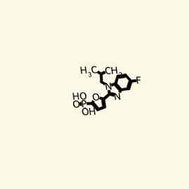 CC(C)Cn1c(-c2ccc(P(=O)(O)O)o2)nc2cc(F)ccc21